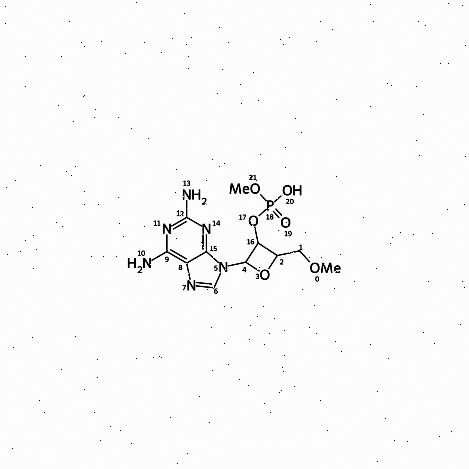 COCC1OC(n2cnc3c(N)nc(N)nc32)C1OP(=O)(O)OC